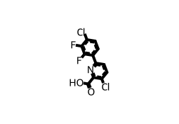 O=C(O)c1nc(-c2ccc(Cl)c(F)c2F)ccc1Cl